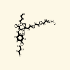 CCCCOC(=O)[C@H](Cc1ccc(OCCCC)cc1)NC(=O)CCOCCOCCN